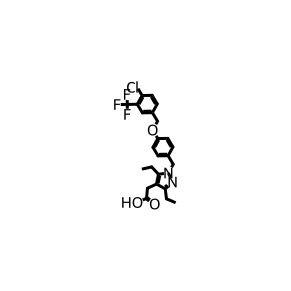 CCc1nn(Cc2ccc(OCc3ccc(Cl)c(C(F)(F)F)c3)cc2)c(CC)c1CC(=O)O